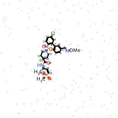 CO/N=C/c1cccc(-c2cc(Cl)ccc2S(=O)(=O)N2CCC(F)(C(=O)N[C@@H](C)/C=C\S(C)(=O)=O)CC2)c1